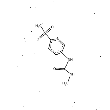 CNC(=O)Nc1ccc(S(C)(=O)=O)nc1